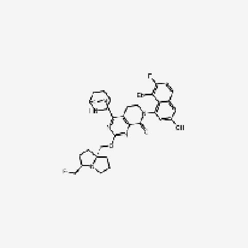 CCc1c(F)ccc2cc(O)cc(N3CCc4c(nc(OC[C@]56CCCN5[C@@H](CF)CC6)nc4N4CC5CCC4CN5)C3=O)c12